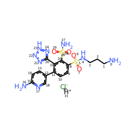 NCCCNS(=O)(=O)c1ccc(-c2ccc(N)nc2)c(-c2nn[nH]n2)c1S(N)(=O)=O.[Cl-].[H+]